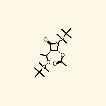 CC(=O)O[C@@H]1[C@@H](C(C)O[Si](C)(C)C(C)(C)C)C(=O)N1[Si](C)(C)C(C)(C)C